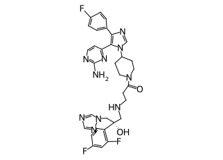 Nc1nccc(-c2c(-c3ccc(F)cc3)ncn2C2CCN(C(=O)CCNC[C@](O)(Cn3cncn3)c3ccc(F)cc3F)CC2)n1